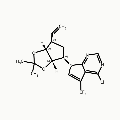 C=C[C@H]1C[C@@H](n2cc(C(F)(F)F)c3c(Cl)ncnc32)[C@@H]2OC(C)(C)O[C@@H]21